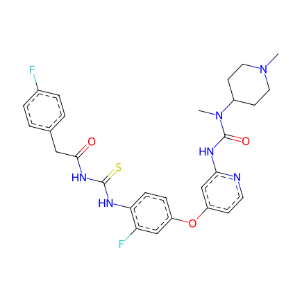 CN1CCC(N(C)C(=O)Nc2cc(Oc3ccc(NC(=S)NC(=O)Cc4ccc(F)cc4)c(F)c3)ccn2)CC1